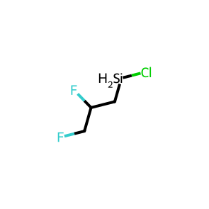 FCC(F)C[SiH2]Cl